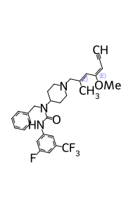 C#C/C=C(\C=C(/C)CN1CCC(N(Cc2ccccc2)C(=O)Nc2cc(F)cc(C(F)(F)F)c2)CC1)OC